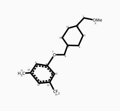 COCC1CCC(COc2cc(C)cc(C(F)(F)F)c2)CC1